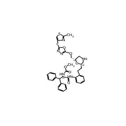 COC(=O)N[C@H](C(=O)Nc1ccccc1CC[C@@H]1CNC[C@@H](COc2nnc(Cc3csc(C)n3)o2)O1)C(c1ccccc1)c1ccccc1